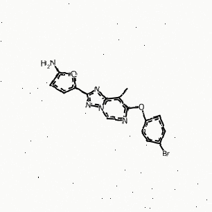 Cc1c(Oc2ccc(Br)cc2)ncn2nc(-c3ccc(N)o3)nc12